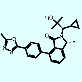 Cc1nnc(-c2ccc(-c3cccc4c3C(=O)N([C@H](C3CC3)C(C)(C)O)[C@@H]4C)cc2)o1